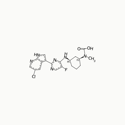 CN(C(=O)O)[C@H]1CCC[C@@H](Nc2nc(-c3c[nH]c4ncc(Cl)cc34)ncc2F)C1